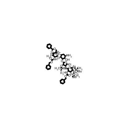 CC[C@@H]1O[C@H](O[C@@H]2[C@@H](CC)OC(O[C@@H]3[C@@H](O)[C@H](N)C[C@H](C)[C@H]3O[C@H]3O[C@@H]4COC(c5ccccc5)O[C@H]4[C@H](C)[C@H]3NC(=O)OCc3ccccc3)[C@@H]2O[Si](C)(C)C(C)(C)C)[C@H](NC(=O)OCc2ccccc2)[C@@H](O[Si](C)(C)C(C)(C)C)[C@@H]1O[Si](C)(C)C(C)(C)C